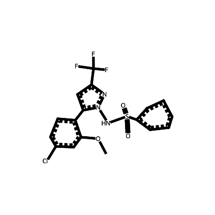 COc1cc(Cl)ccc1-c1cc(C(F)(F)F)nn1NS(=O)(=O)c1ccccc1